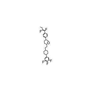 CC/C(F)=C(\F)c1ccc(C2CCC(CCC3CCC(c4cc(F)c(F)c(F)c4)CC3)OC2)cc1